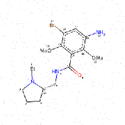 CCN1CCC[C@H]1CNC(=O)c1c(OC)c(N)cc(Br)c1OC